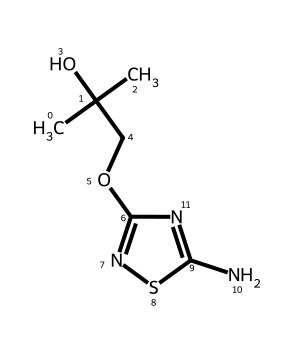 CC(C)(O)COc1nsc(N)n1